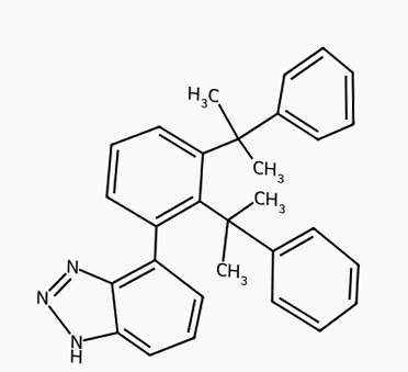 CC(C)(c1ccccc1)c1cccc(-c2cccc3[nH]nnc23)c1C(C)(C)c1ccccc1